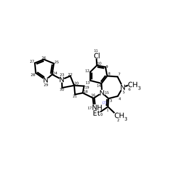 CC/C(C)=C1/CN(C)Cc2cc(Cl)ccc2N1C(=N)C1CC2(C1)CN(c1ccccn1)C2